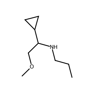 CCCNC(COC)C1CC1